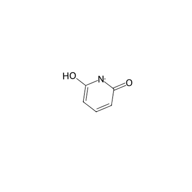 O=C1C=CC=C(O)[N]1